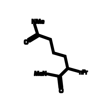 CCCC(CCCC(=O)NC)C(=O)NC